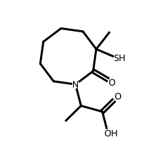 CC(C(=O)O)N1CCCCCC(C)(S)C1=O